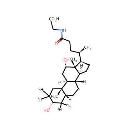 [2H]C1([2H])C[C@@]2(C)[C@H](CC[C@@H]3[C@@H]2C[C@H](O)[C@]2(C)[C@@H]([C@H](C)CCC(=O)NCC(=O)O)CC[C@@H]32)C([2H])([2H])[C@@H]1O